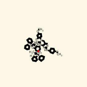 COc1ccc(Nc2ncc3c(n2)N(C2CC(O[Si](c4ccccc4)(c4ccccc4)C(C)(C)C)CC(O[Si](c4ccccc4)(c4ccccc4)C(C)(C)C)C2)C(=O)N(c2ccc(OC)cc2F)C3)cc1